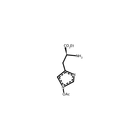 CCOC(=O)[C@@H](N)Cc1cn(OC(C)=O)cn1